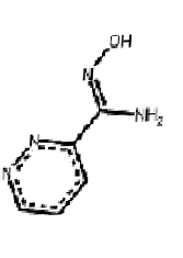 NC(=NO)c1cccnn1